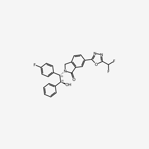 O=C1c2cc(-c3nnc(C(F)F)o3)ccc2CN1[C@@H](c1ccc(F)cc1)[C@@H](O)c1ccccc1